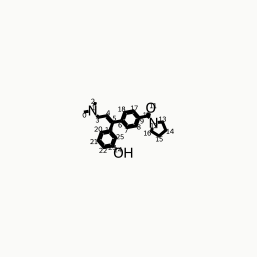 CN(C)CC=C(c1ccc(C(=O)N2CCCC2)cc1)c1cccc(O)c1